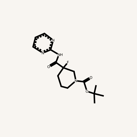 CC(C)(C)OC(=O)N1CCCC(F)(C(=O)Nc2nc[c]cn2)C1